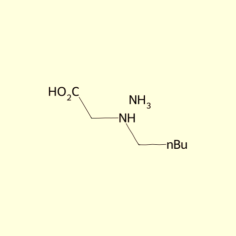 CCCCCNCC(=O)O.N